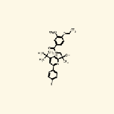 COc1cc(C(=O)NCC(O)(c2cc(C(C)(C)N)cc(-c3ccc(F)cc3)n2)C(F)(F)F)ccc1OCC(F)(F)F